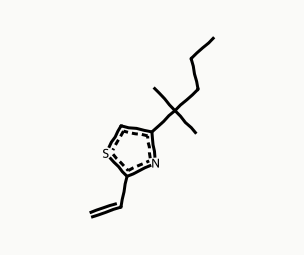 C=Cc1nc(C(C)(C)CCC)cs1